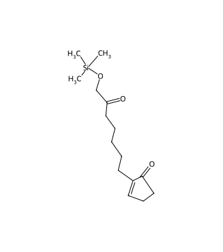 C[Si](C)(C)OCC(=O)CCCCCC1=CCCC1=O